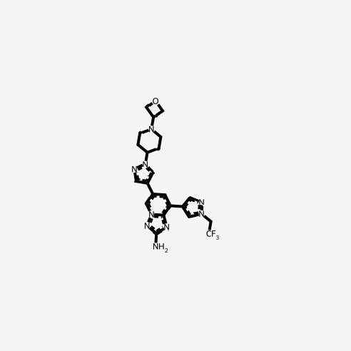 Nc1nc2c(-c3cnn(CC(F)(F)F)c3)cc(-c3cnn(C4CCN(C5COC5)CC4)c3)cn2n1